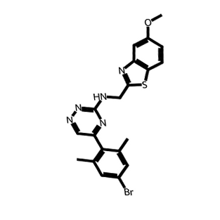 COc1ccc2sc(CNc3nncc(-c4c(C)cc(Br)cc4C)n3)nc2c1